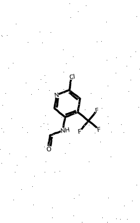 O=CNc1cnc(Cl)cc1C(F)(F)F